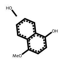 CO.COc1ccc(O)c2ccccc12